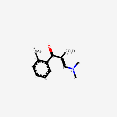 CCOC(=O)C(=CN(C)C)C(=O)c1ccccc1OC